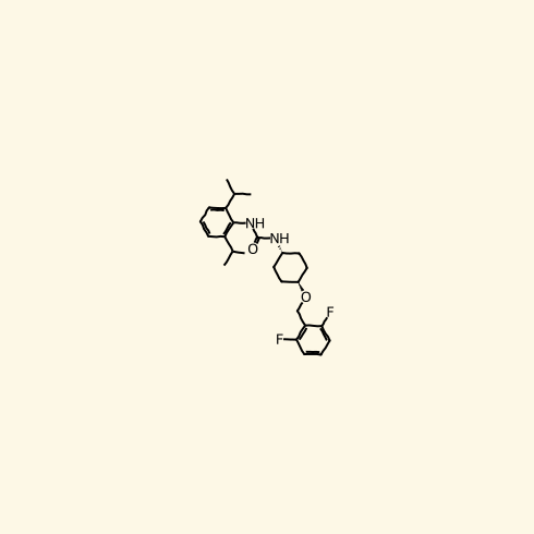 CC(C)c1cccc(C(C)C)c1NC(=O)N[C@H]1CC[C@H](OCc2c(F)cccc2F)CC1